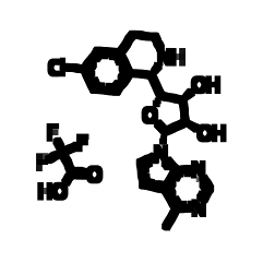 Cc1ncnc2c1ccn2[C@@H]1O[C@H]([C@@H]2NCCc3cc(Cl)ccc32)[C@@H](O)[C@H]1O.O=C(O)C(F)(F)F